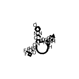 COc1ccc2nc(C)c(O[C@@H]3C[C@H]4C(=O)N[C@]5(C(=O)NS(=O)(=O)C6(C)CC6)C[C@H]5/C=C\CCCCC[C@H](NC(=O)OC5(C(F)(F)F)CCC5)C(=O)N4C3)nc2c1